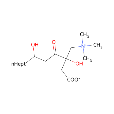 CCCCCCCC(O)CC(=O)C(O)(CC(=O)[O-])C[N+](C)(C)C